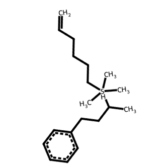 C=CCCCC[SH](C)(C)(C)C(C)CCc1ccccc1